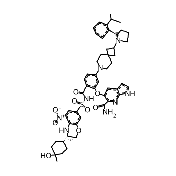 CC(C)c1ccccc1[C@H]1CCCN1C1CC2(CCN(c3ccc(C(=O)NS(=O)(=O)c4cc5c(c([N+](=O)[O-])c4)N[C@@H](C4CCC(C)(O)CC4)CO5)c(Oc4cc5cc[nH]c5nc4C(N)=O)c3)CC2)C1